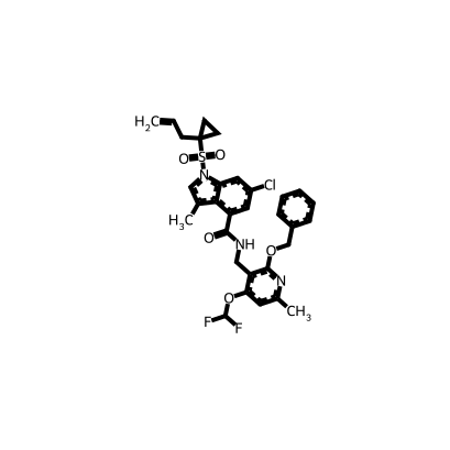 C=CCC1(S(=O)(=O)n2cc(C)c3c(C(=O)NCc4c(OC(F)F)cc(C)nc4OCc4ccccc4)cc(Cl)cc32)CC1